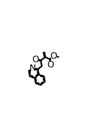 C=C(C(=O)Cc1nccc2ccccc12)C(=O)OC